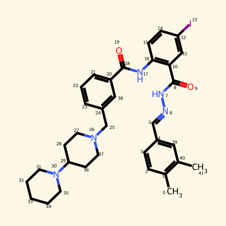 Cc1ccc(C=NNC(=O)c2cc(I)ccc2NC(=O)c2cccc(CN3CCC(N4CCCCC4)CC3)c2)cc1C